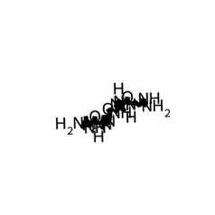 Cc1c(N)c[nH]c1C(=O)Nc1cc(C(=O)Nc2n[nH]c(C(=O)NCCC(=N)N)c2C)n(C)n1